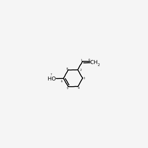 C=CC1CCC=C(O)C1